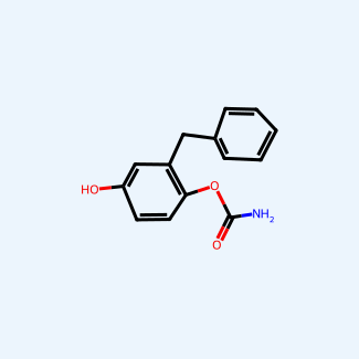 NC(=O)Oc1ccc(O)cc1Cc1ccccc1